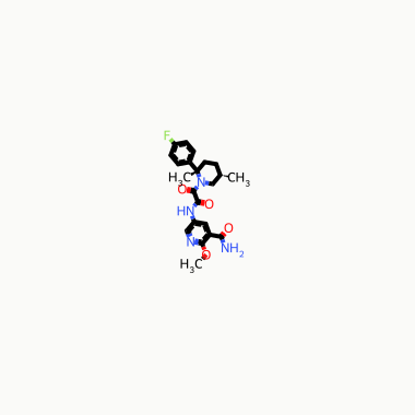 COc1ncc(NC(=O)C(=O)N2C[C@@H](C)CC[C@@]2(C)c2ccc(F)cc2)cc1C(N)=O